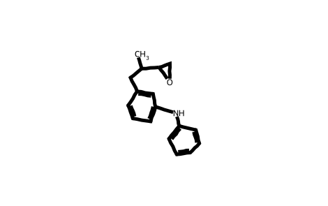 CC(Cc1cccc(Nc2ccccc2)c1)C1CO1